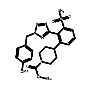 COc1ccc(Cn2nnc(-c3c(C4CCN(C(=O)OC(C)(C)C)CC4)cccc3S(N)(=O)=O)n2)cc1